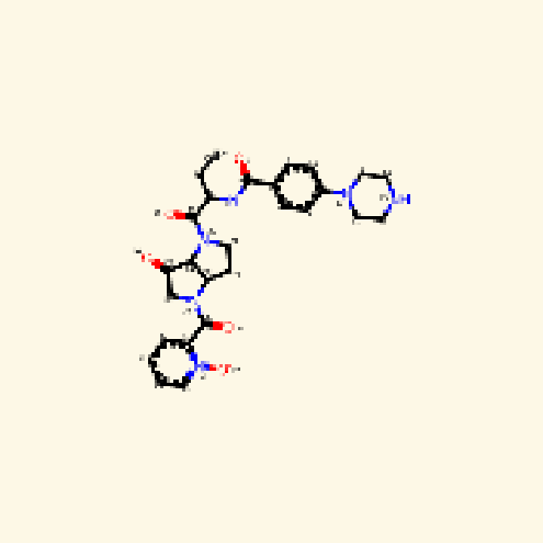 CC(C)CC(NC(=O)c1ccc(N2CCNCC2)cc1)C(=O)N1CCC2C1C(=O)CN2C(=O)c1cccc[n+]1[O-]